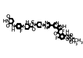 CCN(C)S(=O)(=O)Nc1ccc(F)c(C(=O)c2c[nH]c3ncc(-c4cnc(N5CCC(N(C)C(=O)C6CCN(c7ccc(NC8CCC(=O)NC8=O)cc7F)CC6)CC5)nc4)cc23)c1F